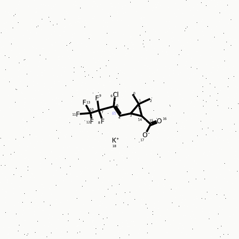 CC1(C)C(/C=C(\Cl)C(F)(F)C(F)(F)F)C1C(=O)[O-].[K+]